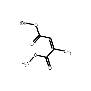 CC(=CC(=O)OC(C)(C)C)C(=O)ON